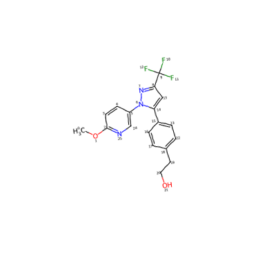 COc1ccc(-n2nc(C(F)(F)F)cc2-c2ccc(CCO)cc2)cn1